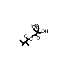 CC(C)=C(C)C(=O)OCC(=O)C(CO)(CO)CO